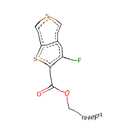 CCCCCCCCOC(=O)c1sc2cscc2c1F